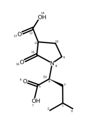 CC(C)C[C@@H](C(=O)O)N1CCC(C(=O)O)C1=O